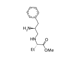 CC[C@H](NC[C@@H](N)Cc1ccccc1)C(=O)OC